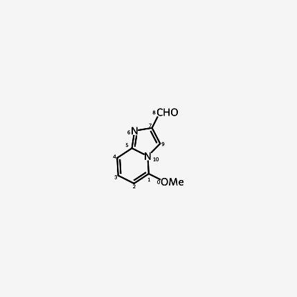 COc1cccc2nc(C=O)cn12